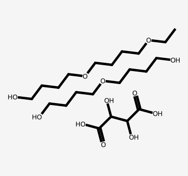 CCOCCCCOCCCCO.O=C(O)C(O)C(O)C(=O)O.OCCCCOCCCCO